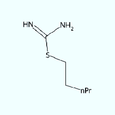 CCCCCSC(=N)N